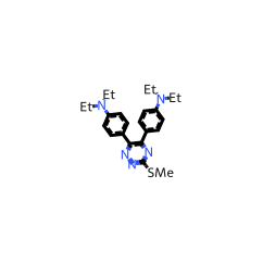 CCN(CC)c1ccc(-c2nnc(SC)nc2-c2ccc(N(CC)CC)cc2)cc1